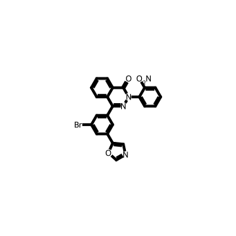 O=c1c2ccccc2c(-c2cc(Br)cc(-c3cnco3)c2)nn1-c1ccccc1[N+](=O)[O-]